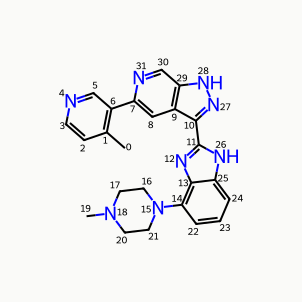 Cc1ccncc1-c1cc2c(-c3nc4c(N5CCN(C)CC5)cccc4[nH]3)n[nH]c2cn1